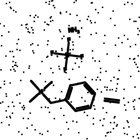 C=C.C[N+](C)(C)Cc1ccccc1.F[B-](F)(F)F.N